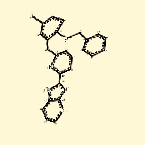 Clc1ccc(OCc2ccccc2)c(Cc2cccc(-c3nc4ncccc4[nH]3)n2)c1